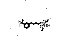 CCO[Si](O)(CCCCCc1cccc(C(F)(F)F)c1)OCC